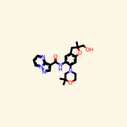 CC1(C)CN(c2cc3c(cc2NC(=O)c2cnn4cccnc24)CC(C)(CO)O3)CCO1